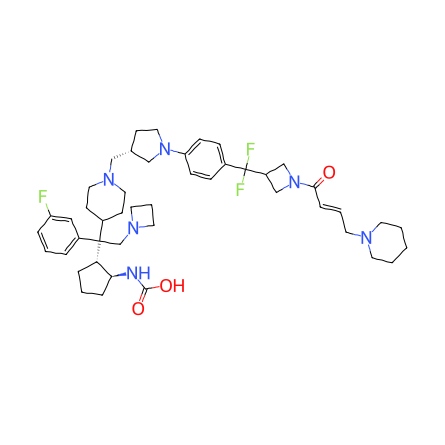 O=C(O)N[C@H]1CCC[C@@H]1C(CN1CCC1)(c1cccc(F)c1)C1CCN(C[C@@H]2CCN(c3ccc(C(F)(F)C4CN(C(=O)/C=C/CN5CCCCC5)C4)cc3)C2)CC1